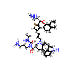 C=CCN1C[C@H](C(=O)N(CCCN(C)C)C(=O)NCC)C[C@@H]2c3cccc4[nH]cc(c34)C[C@H]21.CNCC[C@H](Oc1cccc2ccccc12)c1cccs1